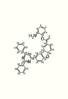 C=C(Oc1ccccc1N)C1=CC2c3cc(-c4nc(-c5ccccc5)nc(-c5ccccc5)n4)ccc3OC2C=C1